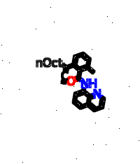 C=C=C(CCCCCCCC)c1cccc(C)c1C(=O)Nc1cccc2cccnc12